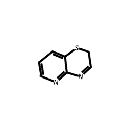 [c]1ccc2c(n1)N=CCS2